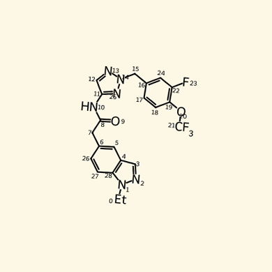 CCn1ncc2cc(CC(=O)Nc3cnn(Cc4ccc(OC(F)(F)F)c(F)c4)n3)ccc21